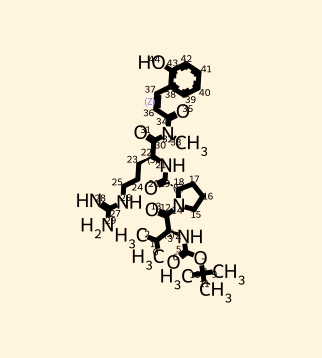 CC(C)[C@H](NC(=O)OC(C)(C)C)C(=O)N1CCC[C@H]1C(=O)N[C@@H](CCCNC(=N)N)C(=O)N(C)C(=O)/C=C\c1ccccc1O